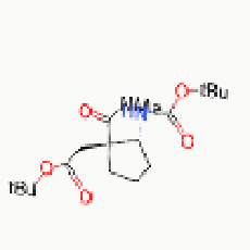 CNC(=O)[C@@]1(CC(=O)OC(C)(C)C)CCC[C@H]1NC(=O)OC(C)(C)C